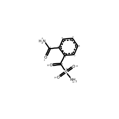 NC(=O)c1ccccc1C(=O)S(N)(=O)=O